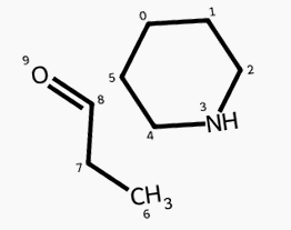 C1CCNCC1.CCC=O